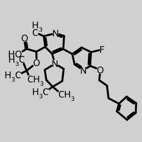 Cc1ncc(-c2cnc(OCCCc3ccccc3)c(F)c2)c(N2CCC(C)(C)CC2)c1C(OC(C)(C)C)C(=O)O